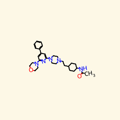 CC(=O)NC1CCC(CCN2CCN(c3cc(-c4ccccc4)cc(N4CCOCC4)n3)CC2)CC1